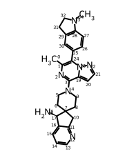 Cc1nc(N2CCC3(CC2)Cc2ncccc2[C@H]3N)c2ccnn2c1-c1ccc2c(c1)CCN2C